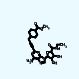 CCNC(=O)C1OC(n2cnc3c(N)nc(C#CCC4CCC(C(=O)OC)CC4)nc32)C(O)C1O